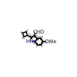 COc1ccc2[nH]c(C3CCC3)c(C=O)c2c1